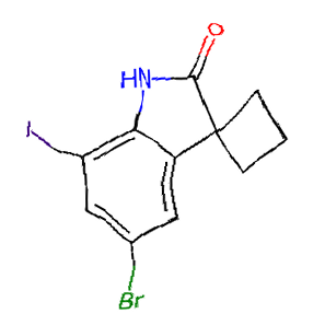 O=C1Nc2c(I)cc(Br)cc2C12CCC2